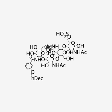 CCCCCCCCCCCOc1cccc(C(=O)NC2[C@H](O[C@H]3C(O)C(NC(C)=O)[C@H](OC4C(CO)O[C@@H](O[C@H]5C(O)C(NC(C)=O)[C@H](O)O[C@H]5COS(=O)(=O)O)[C@@H](NC(C)=O)[C@H]4O)O[C@H]3CO)OC(CO)[C@@H](O)[C@@H]2O)c1